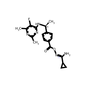 Cc1nc(C)c(F)c(N[C@@H](C)c2ccc(C(=O)O/N=C(\N)C3CC3)cc2)n1